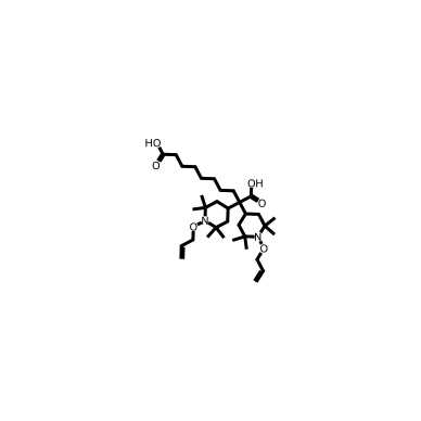 C=CCON1C(C)(C)CC(C(CCCCCCCC(=O)O)(C(=O)O)C2CC(C)(C)N(OCC=C)C(C)(C)C2)CC1(C)C